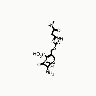 CN(C)C(=O)Cc1nc(SCC2=C(C(=O)O)N3C(=O)C(N)[C@@H]3SC2)n[nH]1